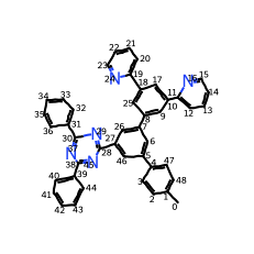 Cc1ccc(-c2cc(-c3cc(-c4ccccn4)cc(-c4ccccn4)c3)cc(-c3nc(-c4ccccc4)nc(-c4ccccc4)n3)c2)cc1